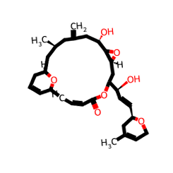 C=C1C[C@H](C)C[C@@H]2CC=C[C@@H](C/C=C\C(=O)OC([C@@H](O)/C=C/[C@@H]3CC(C)=CCO3)C[C@@H]3OC3[C@@H](O)C1)O2